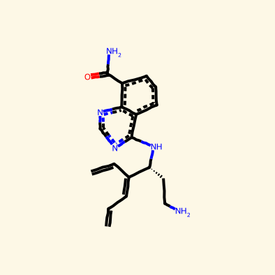 C=C/C=C(\C=C)[C@@H](CCN)Nc1ncnc2c(C(N)=O)cccc12